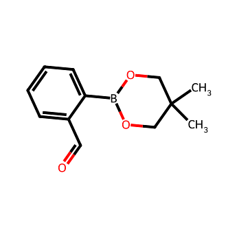 CC1(C)COB(c2ccccc2C=O)OC1